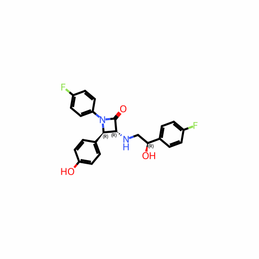 O=C1[C@H](NC[C@H](O)c2ccc(F)cc2)[C@@H](c2ccc(O)cc2)N1c1ccc(F)cc1